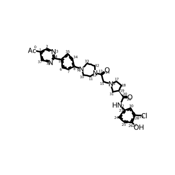 CC(=O)c1cnc(-c2ccc(N3CCN(C(=O)CN4CC[C@@H](C(=O)Nc5ccc(O)c(Cl)c5)C4)CC3)cc2)nc1